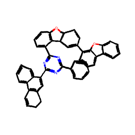 C1=Cc2c(cc(-c3nc(-c4ccccc4)nc(-c4cccc5c4C4C=C(c6cccc7c6oc6ccccc67)C=CC4O5)n3)c3ccccc23)CC1